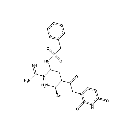 CC(=O)[C@@H](N)C(CC(NC(=N)N)NS(=O)(=O)Cc1ccccc1)C(=O)Cn1ccc(=O)[nH]c1=O